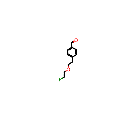 O=Cc1ccc(CCOCCF)cc1